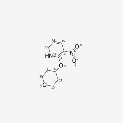 O=[N+]([O-])C1=C(OC2CCOCC2)NCC=C1